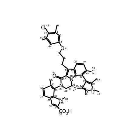 Cc1cc(OCCCc2c3n(c4c(-c5c(C)nn(C)c5C)c(Cl)ccc24)[C@H](C)CN(c2c(C)ccc4cc(C(=O)O)n(C)c24)C3=O)cc(C)c1Cl